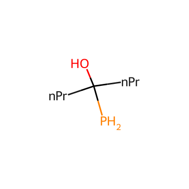 CCCC(O)(P)CCC